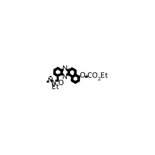 CCOC(=O)COc1cccc2c1ccc1nc3cccc(C(=O)N(CC)N(C)C)c3nc12